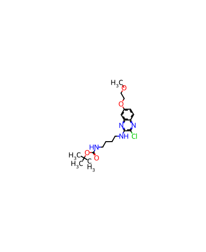 COCCOc1ccc2nc(Cl)c(NCCCCNC(=O)OC(C)(C)C)nc2c1